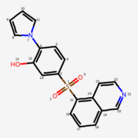 O=S(=O)(c1ccc(-n2cccc2)c(O)c1)c1cccc2cnccc12